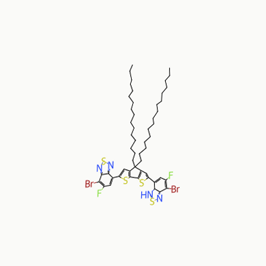 CCCCCCCCCCCCCCCCC1(CCCCCCCCCCCCCCCC)c2cc(C3=CC(F)=C(Br)C4=NSNC34)sc2-c2sc(-c3cc(F)c(Br)c4nsnc34)cc21